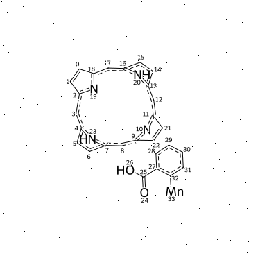 C1=Cc2cc3ccc(cc4nc(cc5ccc(cc1n2)[nH]5)C=C4)[nH]3.O=C(O)c1cccc[c]1[Mn]